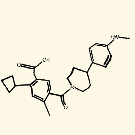 CNc1ccc(C2CCN(C(=O)c3cc(C(=O)O)c(C4CCC4)cc3C)CC2)cc1